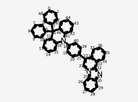 c1ccc(C2(c3ccccc3)c3ccccc3N(c3ccc(-c4cn5c6ccccc6nc5c5ccccc45)cc3)c3ccccc32)cc1